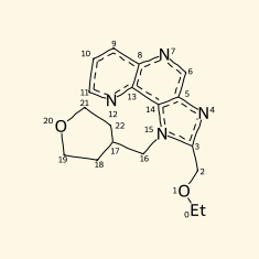 CCOCc1nc2cnc3cccnc3c2n1CC1CCOCC1